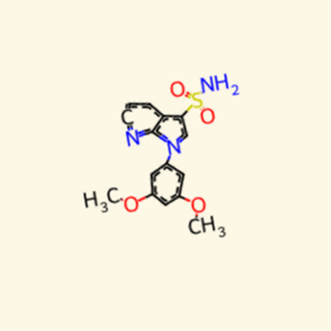 COc1cc(OC)cc(-n2cc(S(N)(=O)=O)c3cccnc32)c1